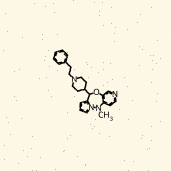 CN1c2ccncc2OC(C2CCN(CCc3ccccc3)CC2)c2cccn21